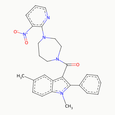 Cc1ccc2c(c1)c(C(=O)N1CCCN(c3ncccc3[N+](=O)[O-])CC1)c(-c1ccccc1)n2C